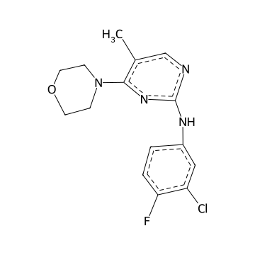 Cc1cnc(Nc2ccc(F)c(Cl)c2)nc1N1CCOCC1